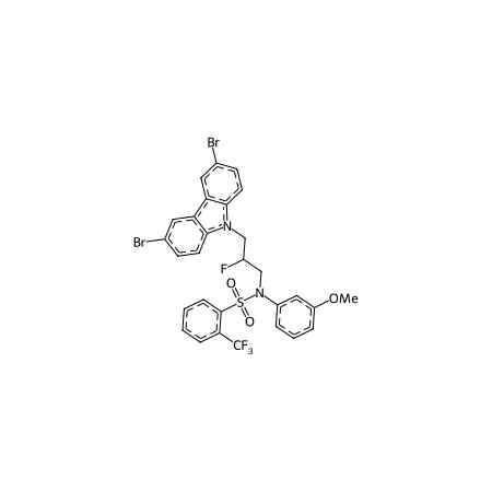 COc1cccc(N(CC(F)Cn2c3ccc(Br)cc3c3cc(Br)ccc32)S(=O)(=O)c2ccccc2C(F)(F)F)c1